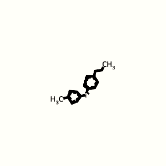 CCCc1ccc([I+]c2ccc(C)cc2)cc1